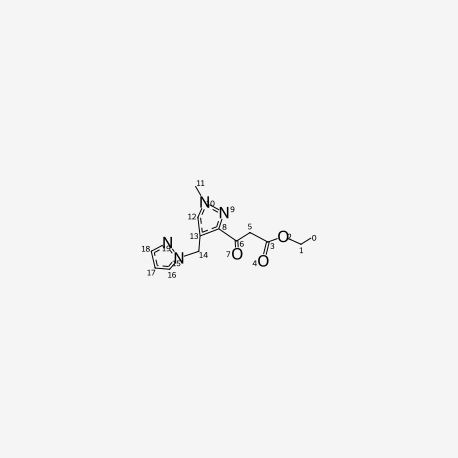 CCOC(=O)CC(=O)c1nn(C)cc1Cn1cccn1